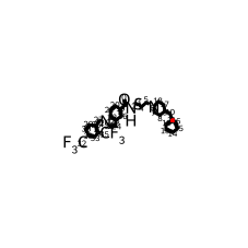 O=C(NSCCN1CCC(Cc2ccccc2)CC1)c1ccc2c(ccn2Cc2ccc(C(F)(F)F)cc2C(F)(F)F)c1